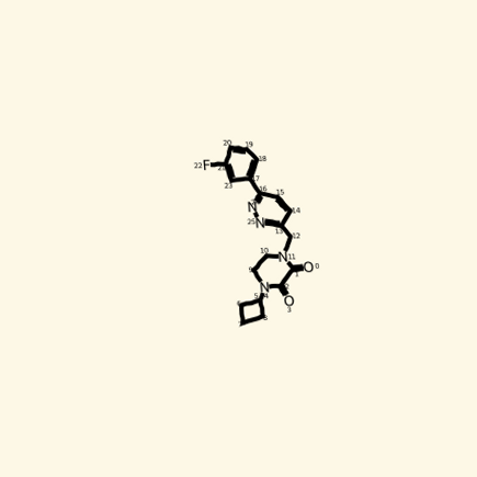 O=C1C(=O)N(C2CCC2)CCN1Cc1ccc(-c2cccc(F)c2)nn1